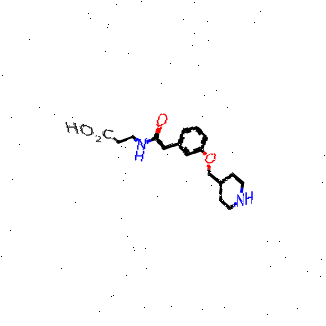 O=C(O)CCNC(=O)Cc1cccc(OCC2CCNCC2)c1